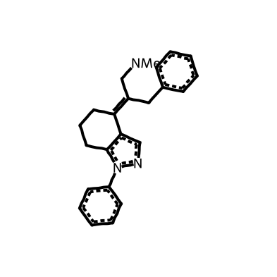 CNCC(Cc1ccccc1)=C1CCCc2c1cnn2-c1ccccc1